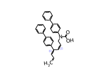 C=C/C=C(\C=C/CN(C(=O)O)c1ccc(-c2ccccc2)cc1)c1ccc(-c2ccccc2)cc1